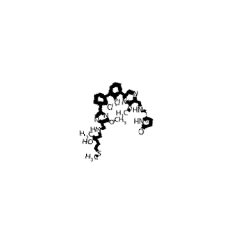 COc1nc(-c2cccc(-c3cccc(-c4cnc(CNCC(C)(O)CCSC)c(OC)n4)c3Cl)c2Cl)cnc1CNC[C@@H]1CCC(=O)N1